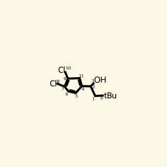 CC(C)(C)CC(O)c1ccc(Cl)c(Cl)c1